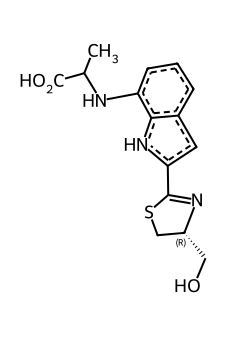 CC(Nc1cccc2cc(C3=N[C@H](CO)CS3)[nH]c12)C(=O)O